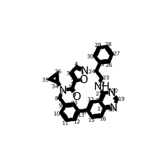 O=C(c1ccno1)N(Cc1cccc(-c2ccc3ncnc(NCCc4ccccc4)c3c2)c1)C1CC1